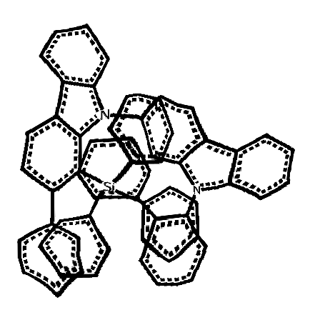 c1ccc(-c2ccccc2-n2c3ccccc3c3ccc(-n4c5ccccc5c5ccc(-c6ccccc6)c([Si](c6ccccc6)(c6ccccc6)c6ccccc6)c54)cc32)cc1